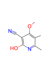 COc1c(C)c(C)nc(O)c1C#N